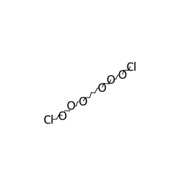 ClCCOCCOCCOCCCCCOCCOCCOCCCl